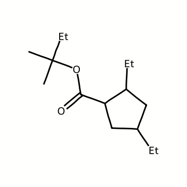 CCC1CC(CC)C(C(=O)OC(C)(C)CC)C1